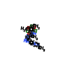 CCN1CCN(c2ccc(Nc3cc(N(C)C(=O)Nc4c(Cl)c(OC)c(Cl)c(OC)c4Cl)ncn3)cc2)CC1